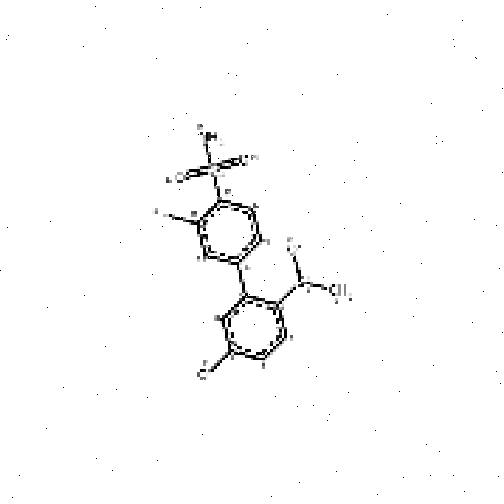 C[S+]([O-])c1ccc(Cl)cc1-c1ccc(S(N)(=O)=O)c(F)c1